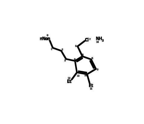 CCCCCCCCCCCCc1c(CCl)ccc(CC)c1CC.N